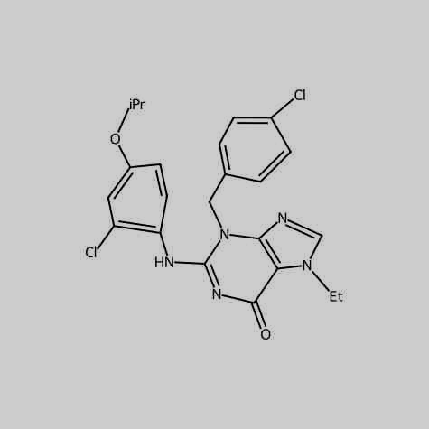 CCn1cnc2c1c(=O)nc(Nc1ccc(OC(C)C)cc1Cl)n2Cc1ccc(Cl)cc1